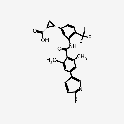 Cc1cc(-c2ccc(F)nc2)cc(C)c1C(=O)Nc1cc([C@H]2C[C@H]2C(=O)O)ccc1C(F)(F)F